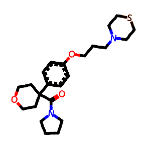 O=C(N1CCCC1)C1(c2ccc(OCCCN3CCSCC3)cc2)CCOCC1